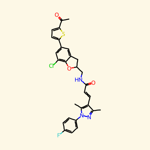 CC(=O)c1ccc(-c2cc(Cl)c3c(c2)CC(CNC(=O)/C=C/c2c(C)nn(-c4ccc(F)cc4)c2C)O3)s1